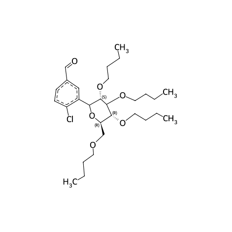 CCCCOC[C@H]1OC(c2cc(C=O)ccc2Cl)[C@H](OCCCC)C(OCCCC)[C@@H]1OCCCC